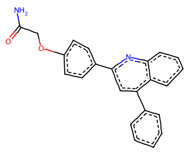 NC(=O)COc1ccc(-c2cc(-c3ccccc3)c3ccccc3n2)cc1